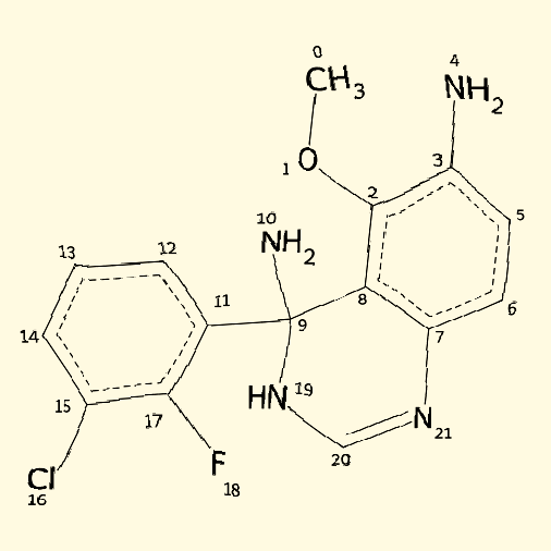 COc1c(N)ccc2c1C(N)(c1cccc(Cl)c1F)NC=N2